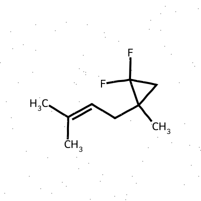 CC(C)=CCC1(C)CC1(F)F